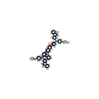 CC(C)(C)c1ccc(N(c2ccc3c(c2)C(C)(C)c2ccccc2-3)c2ccc3c(c2)oc2cc4cc5c6ccc(N(c7ccc(C(C)(C)C)cc7)c7ccc8c(c7)C(C)(C)c7ccccc7-8)c7c8ccccc8n(c5cc4cc23)c67)cc1